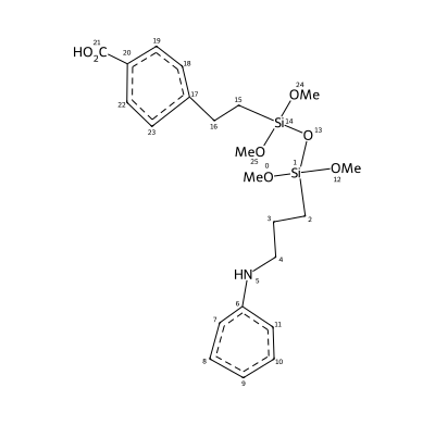 CO[Si](CCCNc1ccccc1)(OC)O[Si](CCc1ccc(C(=O)O)cc1)(OC)OC